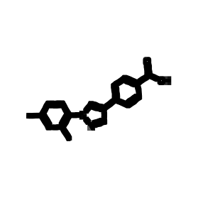 Cc1ccc(-n2cc(-c3ccc(C(=O)O)cc3)cn2)c(C)c1